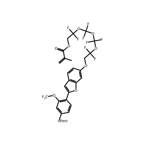 C=C(C)C(=O)OCC(F)(F)OC(F)(F)OC(F)(F)OC(F)(F)COc1ccc2cc(-c3ccc(CCCCC)cc3OC(F)(F)F)oc2c1